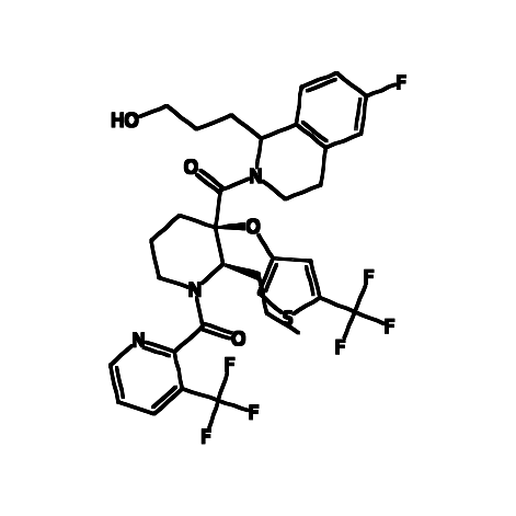 CCC[C@H]1N(C(=O)c2ncccc2C(F)(F)F)CCC[C@]1(Oc1csc(C(F)(F)F)c1)C(=O)N1CCc2cc(F)ccc2C1CCCO